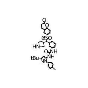 Cc1ccc(-n2nc(C(C)(C)C)cc2NC(=O)Nc2cccc(C(C3CCNCC3)S(=O)(=O)c3ccc4oc(=O)ccc4c3)c2)cc1